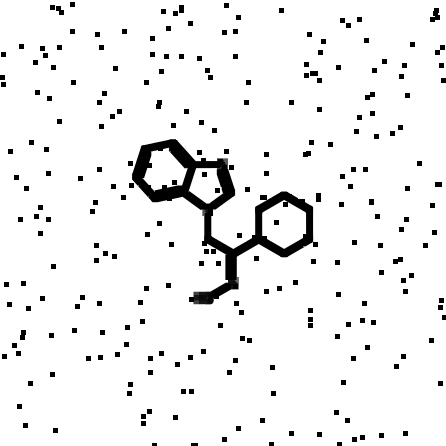 O/N=C(\Cn1cnc2ccccc21)C1CCCCC1